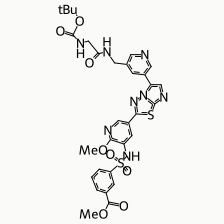 COC(=O)c1cccc(S(=O)(=O)Nc2cc(-c3nn4c(-c5cncc(CNC(=O)CNC(=O)OC(C)(C)C)c5)cnc4s3)cnc2OC)c1